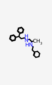 CC(CNCCC(c1ccccc1)c1ccccc1)NCCC1=CCCCC1